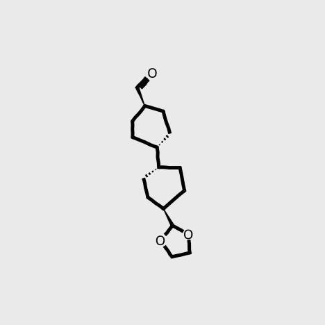 O=C[C@H]1CC[C@H]([C@H]2CC[C@H](C3OCCO3)CC2)CC1